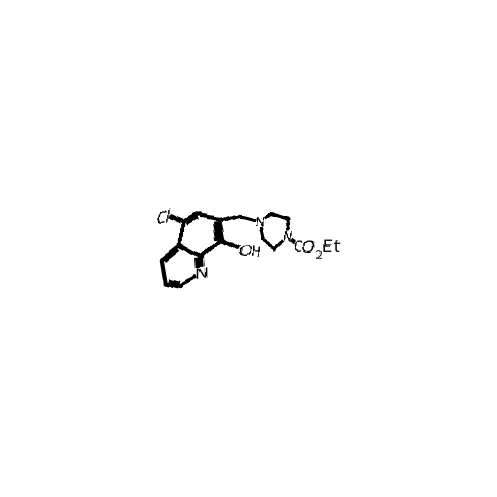 CCOC(=O)N1CCN(Cc2cc(Cl)c3cccnc3c2O)CC1